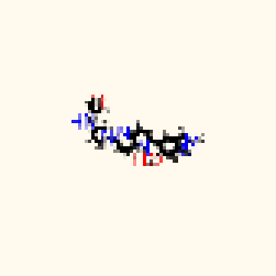 Cn1cc2cc(-c3ccc4nc(N5CC[C@@H](NC6COC6)C5)ccc4n3)c(O)cc2n1